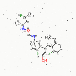 C/C=C1/CCC=C(F)/C1=C\C(/C=C/O)C(=C/C/N=C/ONC(C)CC(C)F)/C(F)=C\C